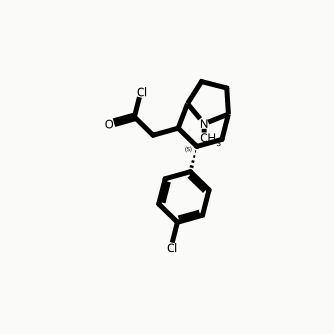 CN1C2CCC1C(CC(=O)Cl)[C@@H](c1ccc(Cl)cc1)C2